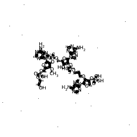 CO[C@@H]1C(OP(O)(=S)OC[C@H]2O[C@@H](n3cnc4c(N)ncnc43)C(OP(O)(=S)OCCCOC3[C@@H](OP(=O)(O)S)CO[C@H]3n3cnc4c(N)ncnc43)[C@H]2O)[C@H](n2cnc3c(N)ncnc32)O[C@@H]1COP(=O)(O)OCCO